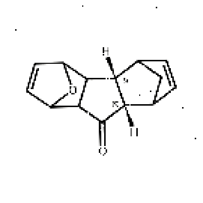 O=C1C2C3C=CC(O3)C2[C@@H]2C3C=CC(C3)[C@H]12